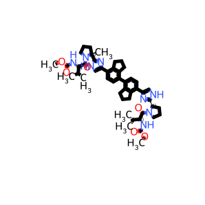 COC(=O)N[C@H](C(=O)N1CCC[C@H]1c1nc(-c2ccc(-c3ccc(-c4c[nH]c([C@]5(C)CCCN5C(=O)[C@@H](NC(=O)OC)C(C)C)n4)c4c3CCC4)c3c2CCC3)c[nH]1)C(C)C